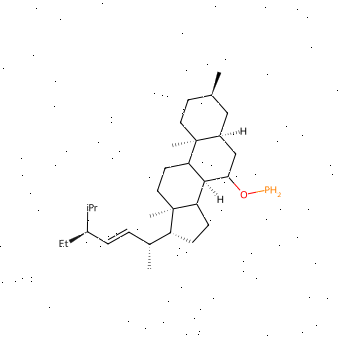 CC[C@H](/C=C/[C@@H](C)[C@H]1CCC2[C@@H]3C(OP)C[C@@H]4C[C@H](C)CC[C@]4(C)C3CC[C@@]21C)C(C)C